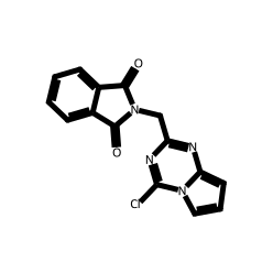 O=C1c2ccccc2C(=O)N1Cc1nc(Cl)n2cccc2n1